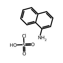 Nc1cccc2ccccc12.O=S(=O)(O)Cl